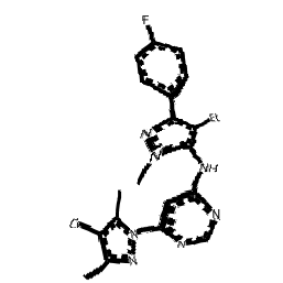 CCc1c(-c2ccc(F)cc2)nn(C)c1Nc1cc(-n2nc(C)c(Cl)c2C)ncn1